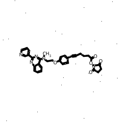 CN(CCOc1ccc(C#CCCCC(=O)ON2C(=O)CCC2=O)cc1)c1nc(-c2cccnc2)nc2ccccc12